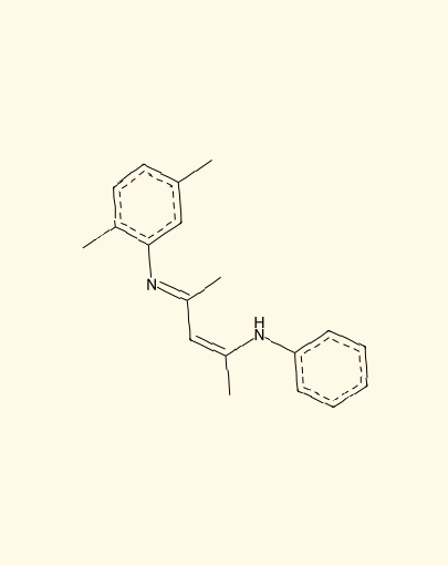 C/C(=C/C(C)=N/c1cc(C)ccc1C)Nc1ccccc1